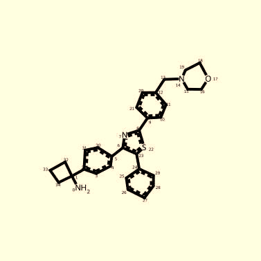 NC1(c2ccc(-c3nc(-c4ccc(CN5CCOCC5)cc4)sc3-c3ccccc3)cc2)CCC1